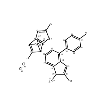 CC1=C2c3cc(C)sc3C1[Si]2(C)C.CC1=Cc2c(-c3ccc(C)cc3)cccc2[CH]1[Zr+2].[Cl-].[Cl-]